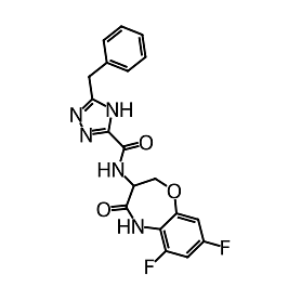 O=C(NC1COc2cc(F)cc(F)c2NC1=O)c1nnc(Cc2ccccc2)[nH]1